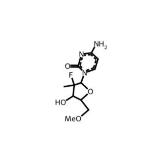 COCC1OC(n2ccc(N)nc2=O)C(C)(F)C1O